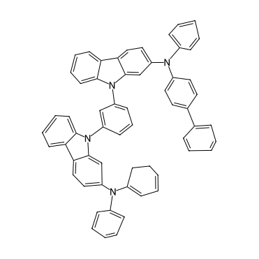 C1=CCCC(N(c2ccccc2)c2ccc3c4ccccc4n(-c4cccc(-n5c6ccccc6c6ccc(N(c7ccccc7)c7ccc(-c8ccccc8)cc7)cc65)c4)c3c2)=C1